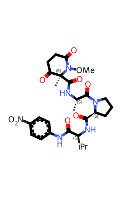 CON1C(=O)CCC(=O)[C@]1(C)C(=O)N[C@@H](C)C(=O)N1CCC[C@H]1C(=O)N[C@H](C(=O)Nc1ccc([N+](=O)[O-])cc1)C(C)C